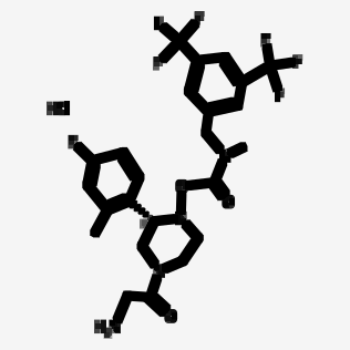 Cc1cc(F)ccc1[C@H]1CN(C(=O)CN)CCN1OC(=O)N(C)Cc1cc(C(F)(F)F)cc(C(F)(F)F)c1.Cl